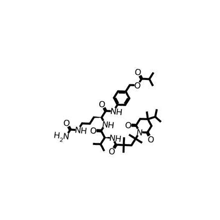 CC(C)C(=O)OCc1ccc(NC(=O)[C@H](CCCNC(N)=O)NC(=O)[C@@H](NC(=O)C(C)(C)CC(C)(C)N2C(=O)CC(C)(C(C)C)CC2=O)C(C)C)cc1